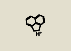 [H+].c1cc2c3c(cccc3c1)CC2